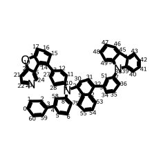 c1ccc(-c2cccc(N(c3ccc(-c4cccc5oc6ccncc6c45)cc3)c3ccc(-c4cccc(-n5c6ccccc6c6ccccc65)c4)c4ccccc34)c2)cc1